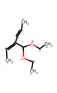 CC=CC(=CC)C(OCC)OCC